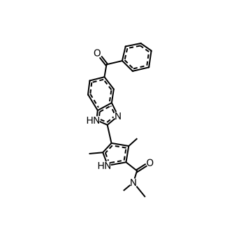 Cc1[nH]c(C(=O)N(C)C)c(C)c1-c1nc2cc(C(=O)c3ccccc3)ccc2[nH]1